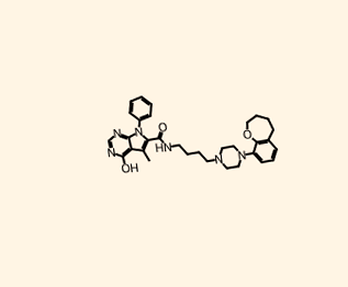 Cc1c(C(=O)NCCCCN2CCN(c3cccc4c3OCCCC4)CC2)n(-c2ccccc2)c2ncnc(O)c12